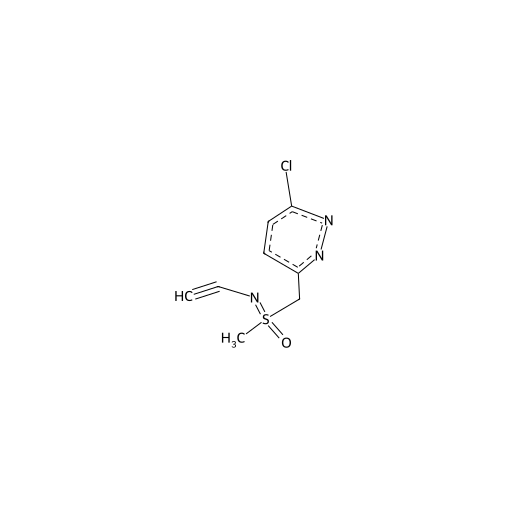 C#CN=S(C)(=O)Cc1ccc(Cl)nn1